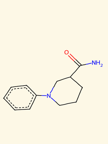 NC(=O)C1CCCN(c2ccccc2)C1